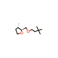 C[C@H]1CCO[C@@H]1COCCC(C)(C)C